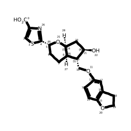 O=C(O)c1csc([C@H]2CC[C@@H]3[C@@H](COc4ccc5c(c4)CCO5)[C@H](O)C[C@@H]3O2)n1